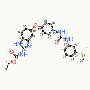 CCOC(=O)Nc1nc2cc(Oc3ccc(NC(=O)Nc4cccc(SC)c4)cc3)ccc2[nH]1